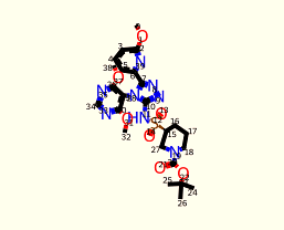 COc1cccc(-c2nnc(NS(=O)(=O)[C@H]3CCCN(C(=O)OC(C)(C)C)C3)n2-c2c(OC)ncnc2OC)n1